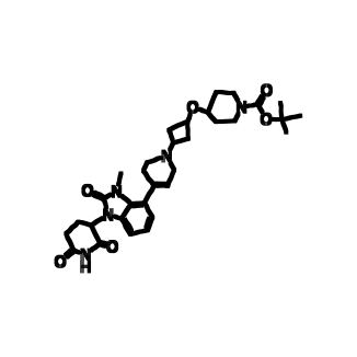 Cn1c(=O)n(C2CCC(=O)NC2=O)c2cccc(C3=CCN(C4CC(OC5CCN(C(=O)OC(C)(C)C)CC5)C4)CC3)c21